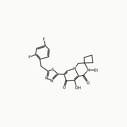 CCN1C(=O)c2c(O)c(=O)c(-c3nnc(Cc4ccc(F)cc4F)s3)cn2CC12CCC2